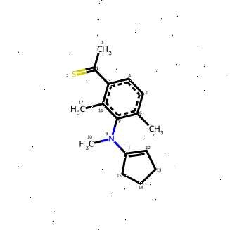 CC(=S)c1ccc(C)c(N(C)C2=CCCC2)c1C